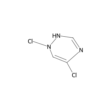 ClC1=CN(Cl)NC=N1